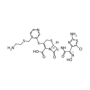 NCCSCc1ccncc1SC1=C(C(=O)O)N2C(=O)[C@@H](NC(=O)/C(=N\O)c3nc(N)sc3Cl)[C@@H]2SC1